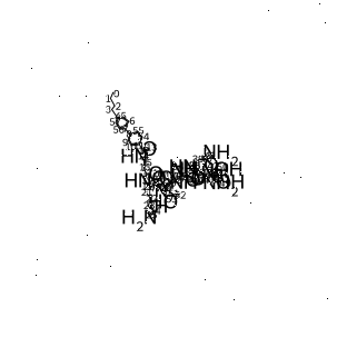 CCCCc1ccc(-c2ccc(C(=O)NCCC(=O)N[C@@H](CCCCN)C(=O)N[C@H](C(=O)N[C@@H](N)C(=O)N[C@@H](CC(N)=O)C(=O)N[C@@H](N)B(O)O)C(C)O)cc2)cc1